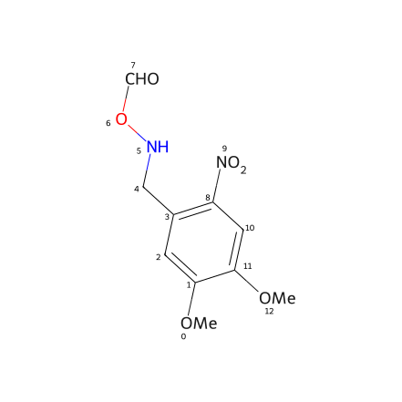 COc1cc(CNOC=O)c([N+](=O)[O-])cc1OC